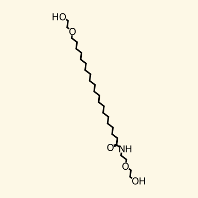 O=C(CCCCCCCCCCCCCCCCCCCCOCCO)NCCOCCO